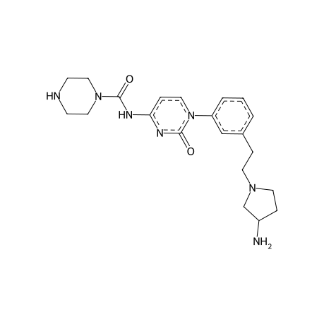 NC1CCN(CCc2cccc(-n3ccc(NC(=O)N4CCNCC4)nc3=O)c2)C1